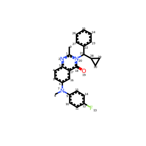 Cc1nc2ccc(N(C)c3ccc(F)cc3)cc2c(=O)n1C(c1ccccc1)C1CC1